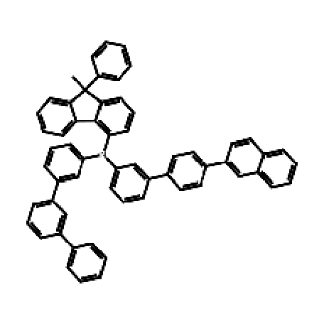 CC1(c2ccccc2)c2ccccc2-c2c(N(c3cccc(-c4ccc(-c5ccc6ccccc6c5)cc4)c3)c3cccc(-c4cccc(-c5ccccc5)c4)c3)cccc21